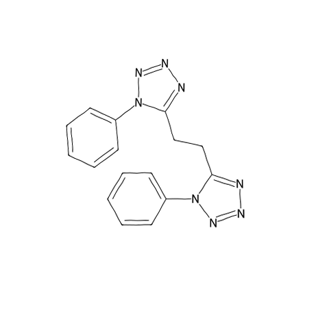 c1ccc(-n2nnnc2CCc2nnnn2-c2ccccc2)cc1